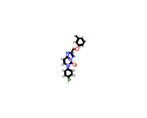 Cc1cccc(OCc2cn3c(=O)n(-c4ccc(F)cc4)ccc3n2)c1